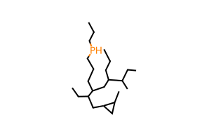 CCCPCCCC(CC(CCC)C(C)CC)C(CC)CC1CC1C